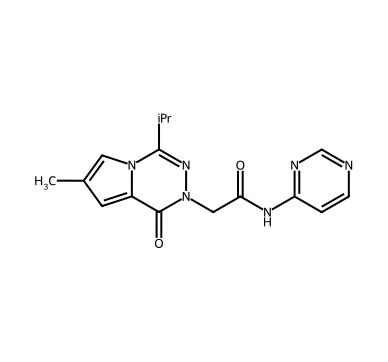 Cc1cc2c(=O)n(CC(=O)Nc3ccncn3)nc(C(C)C)n2c1